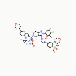 CCP(=O)(CC)c1ccc(-n2ccn(-c3c4c(nn3-c3cc(C)c(F)c(C)c3)CCN(C(=O)c3cc5cc(C6CCOCC6)ccc5n3[C@@]3(c5noc(=O)[nH]5)C[C@@H]3C)[C@H]4C)c2=O)cc1N1CCOCC1